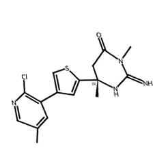 Cc1cnc(Cl)c(-c2csc([C@]3(C)CC(=O)N(C)C(=N)N3)c2)c1